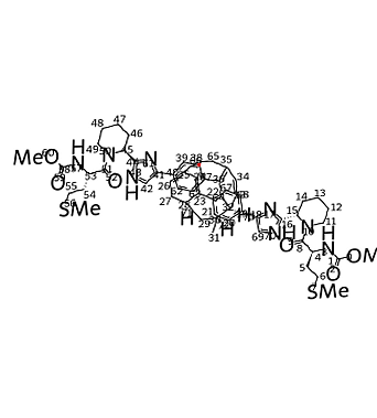 COC(=O)N[C@@H](CCSC)C(=O)N1CCCC[C@H]1c1nc(-c2ccc(C3=CC4=CC[C@@H]3C[C@@H](C)[C@@H]3C=CC(=C(c5ccc(-c6c[nH]c([C@@H]7CCCCN7C(=O)[C@H](CCSC)NC(=O)OC)n6)cc5)C3)CC4)cc2)c[nH]1